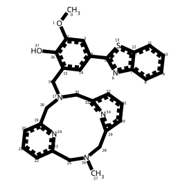 COc1cc(-c2nc3ccccc3s2)cc(CN2Cc3cccc(n3)CN(C)Cc3cccc(n3)C2)c1O